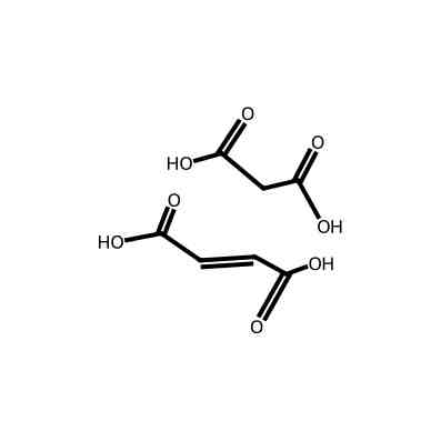 O=C(O)C=CC(=O)O.O=C(O)CC(=O)O